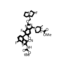 COC(=O)[C@H]1CCN(c2nc(OC[C@@]34CCCN3C[C@H](F)C4)nc3c(F)c(-c4ccc(F)c5sc(NC(=O)OC(C)(C)C)c(C#N)c45)c(Cl)cc23)C[C@H]1C